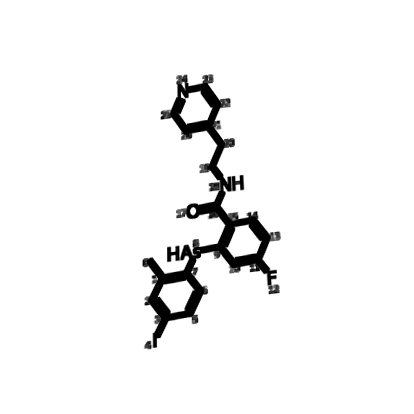 Cc1cc(I)ccc1[AsH]c1cc(F)ccc1C(=O)NCCc1ccncc1